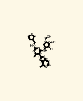 Cc1nc(NCC2C=CSC2)nc(NC2C[C@H](CO)[C@@H](O)[C@H]2O)c1-c1nc2c(C)nccc2s1